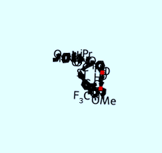 C=CC(=O)N1CCN(C(=O)N(C)[C@H](C(=O)[N+]2=CC2C2Cc3nc(cs3)-c3ccc4c(c3)c(c(-c3cccnc3[C@H](C)OC)n4CC(F)(F)F)CC(C)(C)COC(=O)[C@@H]3CCCN(N3)C2=O)C(C)C)CC1